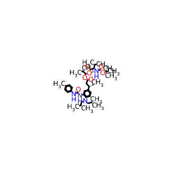 CC[C@@H](CC(=O)OC(OC(=O)C(NC(=O)OC(C)(C)C)C(C)C)C(C)C)c1ccc(N(CC(C)C)CC(C)C)c(NC(=O)Nc2ccc(C)cc2)c1